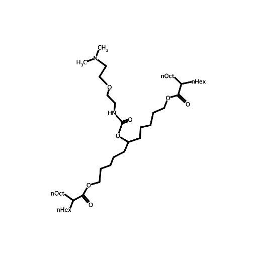 CCCCCCCCC(CCCCCC)C(=O)OCCCCCC(CCCCCOC(=O)C(CCCCCC)CCCCCCCC)OC(=O)NCCOCCN(C)C